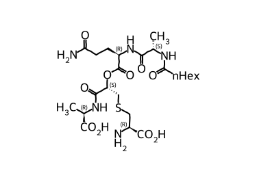 CCCCCCC(=O)N[C@@H](C)C(=O)N[C@H](CCC(N)=O)C(=O)O[C@H](CSC[C@H](N)C(=O)O)C(=O)N[C@H](C)C(=O)O